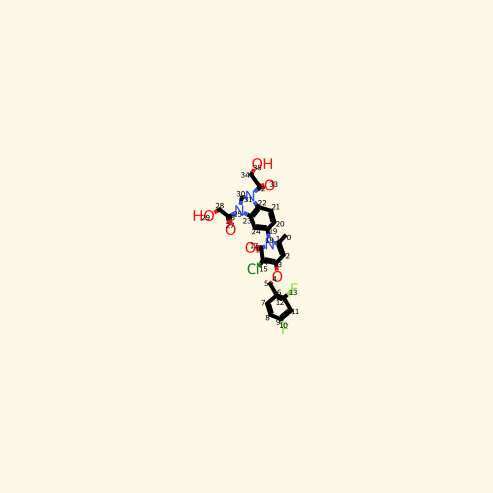 Cc1cc(OCc2ccc(F)cc2F)c(Cl)c(=O)n1-c1ccc2c(c1)N(C(=O)CO)CN2C(=O)CO